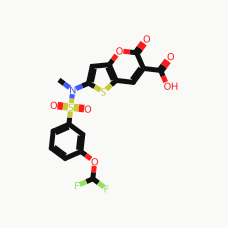 CN(c1cc2oc(=O)c(C(=O)O)cc2s1)S(=O)(=O)c1cccc(OC(F)F)c1